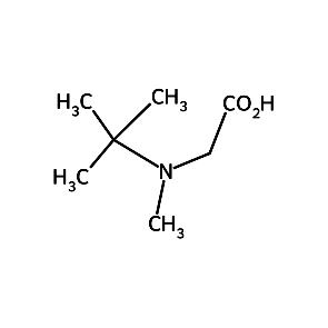 CN(CC(=O)O)C(C)(C)C